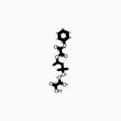 CC(CC(C)(C)OOC(=O)C(=O)O)OC(=O)C(=O)Oc1ccccc1